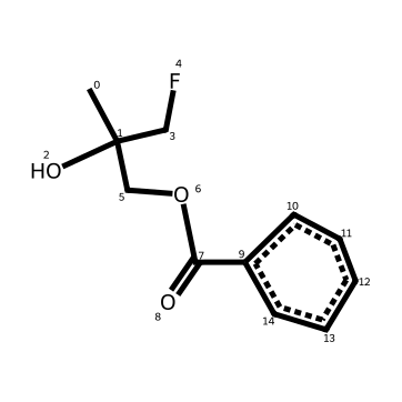 CC(O)(CF)COC(=O)c1ccccc1